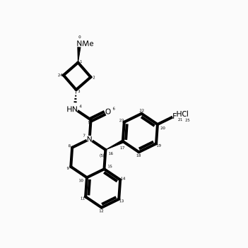 CN[C@H]1C[C@H](NC(=O)N2CCc3ccccc3[C@@H]2c2ccc(F)cc2)C1.Cl